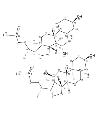 C[C@H](CCC(=O)O)[C@H]1CC[C@H]2[C@@H]3CC[C@@H]4C[C@H](O)CC[C@]4(C)[C@H]3C[C@H](O)[C@]12C.C[C@H](CCC(=O)O)[C@H]1CC[C@H]2[C@@H]3[C@@H](O)C[C@@H]4C[C@H](O)CC[C@]4(C)[C@H]3CC[C@]12C